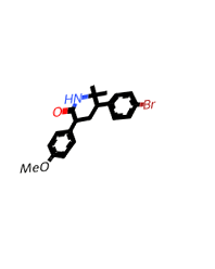 COc1ccc(C2CC(c3ccc(Br)cc3)C(C)(C)NC2=O)cc1